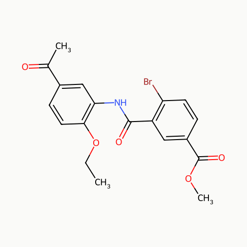 CCOc1ccc(C(C)=O)cc1NC(=O)c1cc(C(=O)OC)ccc1Br